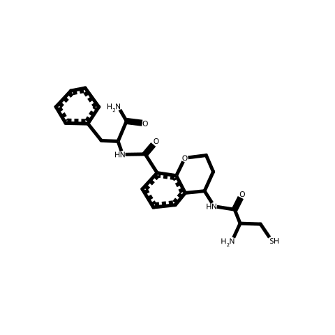 NC(=O)C(Cc1ccccc1)NC(=O)c1cccc2c1OCCC2NC(=O)C(N)CS